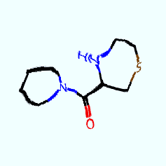 O=C(C1CSCCN1)N1CCCC1